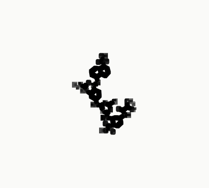 C=C(Br)C(=O)Nc1ccc(S(=O)(=O)O)c(Nc2nc(Cl)nc(Nc3ccc(N=Nc4cccc5c(S(=O)(=O)O)cccc45)c(NC(N)=O)c3)n2)c1